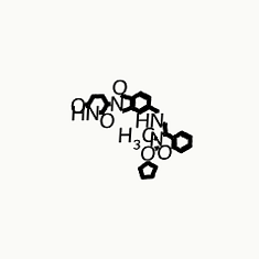 CN(C(=O)OC1CCCC1)C(CNCc1ccc2c(c1)CN(C1CCC(=O)NC1=O)C2=O)c1ccccc1